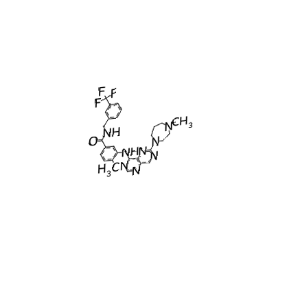 Cc1ccc(C(=O)NCc2cccc(C(F)(F)F)c2)cc1Nc1ncnc2cnc(N3CCCN(C)CC3)nc12